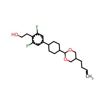 C=CCCC1COC(C2CCC(c3cc(F)c(CCO)c(F)c3)CC2)OC1